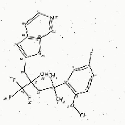 COc1ccc(F)cc1C(C)(C)CC(O)(Cc1cc2ccncc2s1)C(F)(F)F